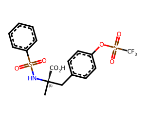 C[C@@](Cc1ccc(OS(=O)(=O)C(F)(F)F)cc1)(NS(=O)(=O)c1ccccc1)C(=O)O